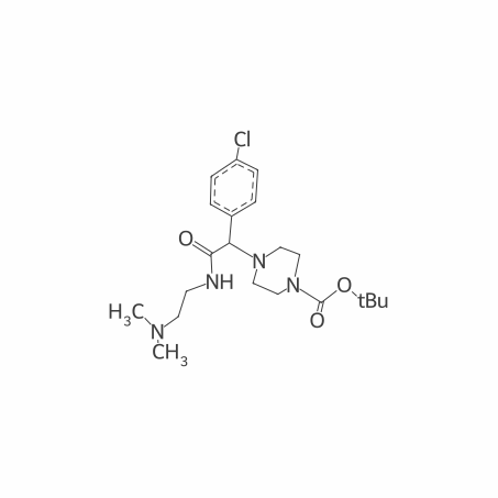 CN(C)CCNC(=O)C(c1ccc(Cl)cc1)N1CCN(C(=O)OC(C)(C)C)CC1